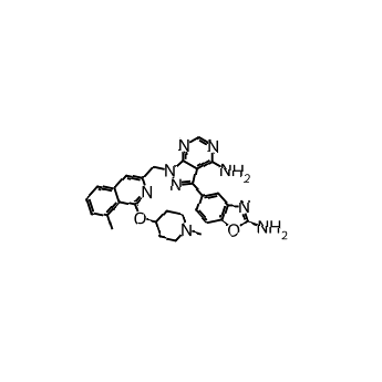 Cc1cccc2cc(Cn3nc(-c4ccc5oc(N)nc5c4)c4c(N)ncnc43)nc(OC3CCN(C)CC3)c12